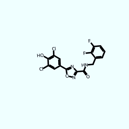 O=C(NCc1cccc(F)c1F)c1noc(-c2cc(Cl)c(O)c(Cl)c2)n1